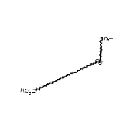 CCCCCCCCC=CCCCCCCCCCCCC(=O)OCCCCCCCCCCCCCCCCCCCCCCCCCCCCCCCCCCCCCC(=O)O